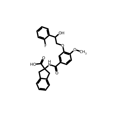 COc1ccc(C(=O)NC2(C(=O)O)Cc3ccccc3C2)cc1OCC(O)c1ccccc1F